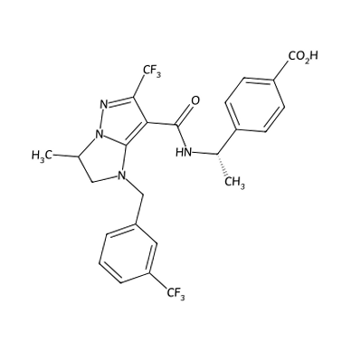 CC1CN(Cc2cccc(C(F)(F)F)c2)c2c(C(=O)N[C@@H](C)c3ccc(C(=O)O)cc3)c(C(F)(F)F)nn21